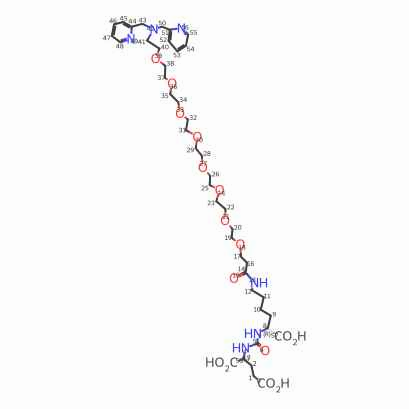 O=C(O)CC[C@H](NC(=O)N[C@H](CCCCNC(=O)CCOCCOCCOCCOCCOCCOCCOCCOCCN(Cc1ccccn1)Cc1ccccn1)C(=O)O)C(=O)O